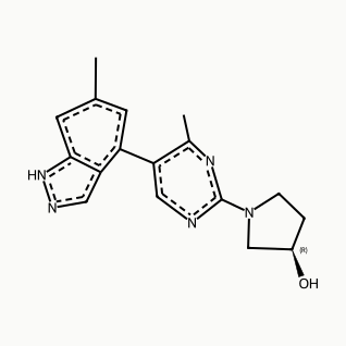 Cc1cc(-c2cnc(N3CC[C@@H](O)C3)nc2C)c2cn[nH]c2c1